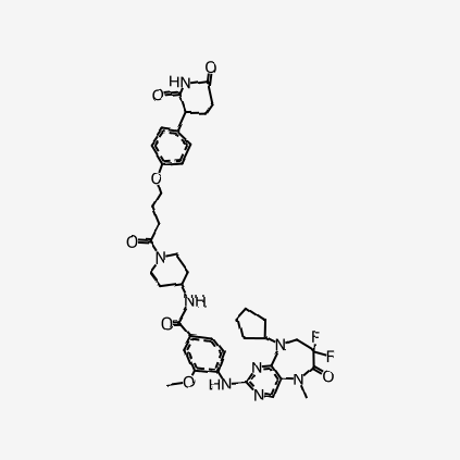 COc1cc(C(=O)NC2CCN(C(=O)CCCOc3ccc(C4CCC(=O)NC4=O)cc3)CC2)ccc1Nc1ncc2c(n1)N(C1CCCC1)CC(F)(F)C(=O)N2C